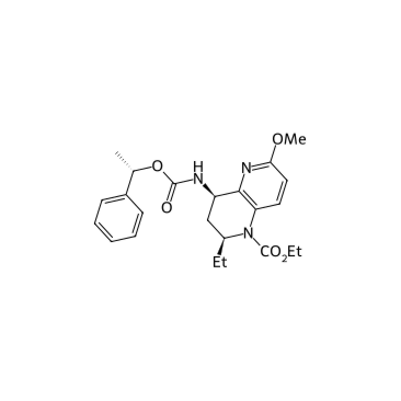 CCOC(=O)N1c2ccc(OC)nc2[C@H](NC(=O)O[C@@H](C)c2ccccc2)C[C@@H]1CC